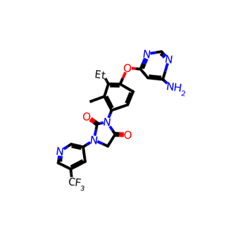 CCc1c(Oc2cc(N)ncn2)ccc(N2C(=O)CN(c3cncc(C(F)(F)F)c3)C2=O)c1C